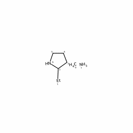 C.CCC1CCCN1.N